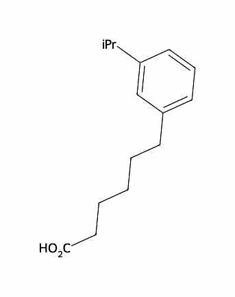 CC(C)c1cccc(CCCCCC(=O)O)c1